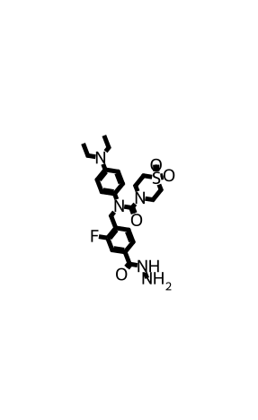 CCN(CC)c1ccc(N(Cc2ccc(C(=O)NN)cc2F)C(=O)N2CCS(=O)(=O)CC2)cc1